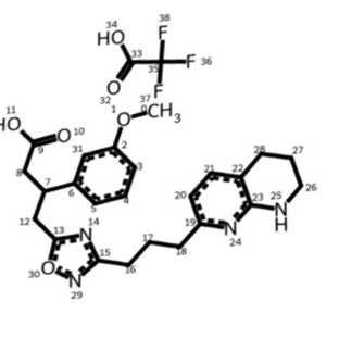 COc1cccc(C(CC(=O)O)Cc2nc(CCCc3ccc4c(n3)NCCC4)no2)c1.O=C(O)C(F)(F)F